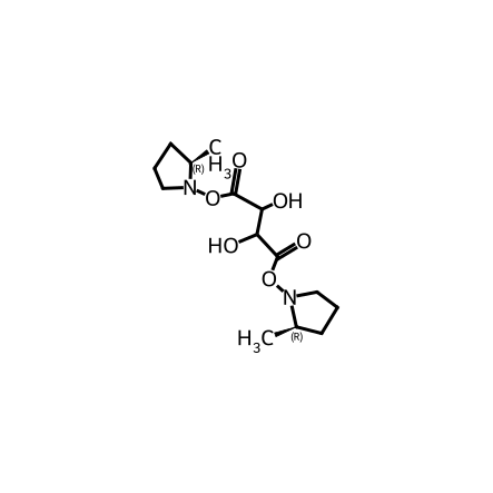 C[C@@H]1CCCN1OC(=O)C(O)C(O)C(=O)ON1CCC[C@H]1C